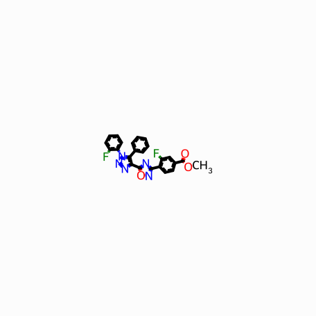 COC(=O)c1ccc(-c2noc(-c3nnn(-c4ccccc4F)c3-c3ccccc3)n2)c(F)c1